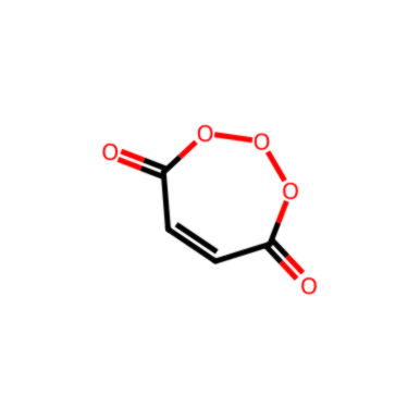 O=C1C=CC(=O)OOO1